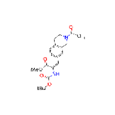 COC(=O)/C(=C\c1ccc2c(c1)CN(C(=O)C(F)(F)F)CC2)NC(=O)OC(C)(C)C